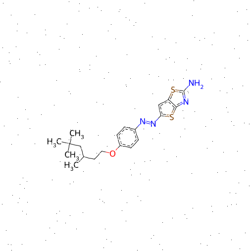 CC(CCOc1ccc(/N=N/c2cc3sc(N)nc3s2)cc1)CC(C)(C)C